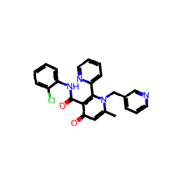 Cc1cc(=O)c(C(=O)Nc2ccccc2Cl)c(-c2ccccn2)n1Cc1cccnc1